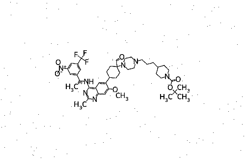 COc1cc2nc(C)nc(N[C@H](C)c3cc([N+](=O)[O-])cc(C(F)(F)F)c3)c2cc1C1CCC(C=O)(N2CCN(CCCC3CCN(C(=O)OC(C)(C)C)CC3)CC2)CC1